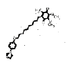 COC1=C(OC)C(=O)C(CCCCCCCCCCOc2ccc(-n3ccnc3)cc2)=C(C)C1=O